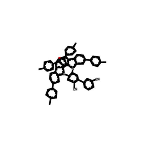 Cc1ccc(-c2ccc3c4ccc(-c5ccc(C)cc5)cc4n(-c4cc(C#N)c(-c5cccc(C#N)c5)cc4-n4c5cc(-c6ccc(C)cc6)ccc5c5ccc(-c6ccc(C)cc6)cc54)c3c2)cc1